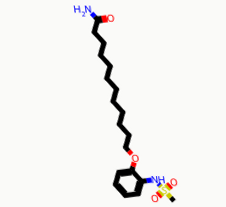 CS(=O)(=O)Nc1ccccc1OCCCCCCCCCCCC(N)=O